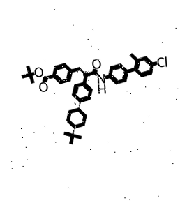 Cc1cc(Cl)ccc1-c1ccc(NC(=O)[C@H](Cc2ccc(C(=O)OC(C)(C)C)cc2)c2ccc([C@H]3CC[C@@H](C(C)(C)C)CC3)cc2)cc1